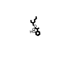 CCCCC(CC)COC(=O)C(C)c1ccccc1O